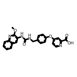 COc1nc2ccccc2cc1NC(=O)NCc1ccc(Oc2ccnc(C(=O)O)c2)cc1